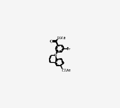 COC(=O)c1cc(Br)cc(N2CCCc3cc(OC)ccc32)c1